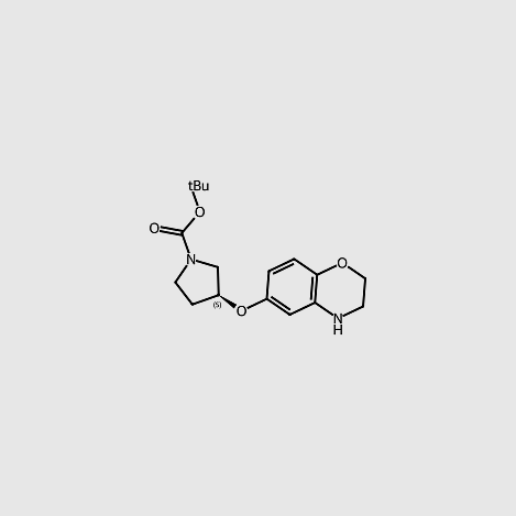 CC(C)(C)OC(=O)N1CC[C@H](Oc2ccc3c(c2)NCCO3)C1